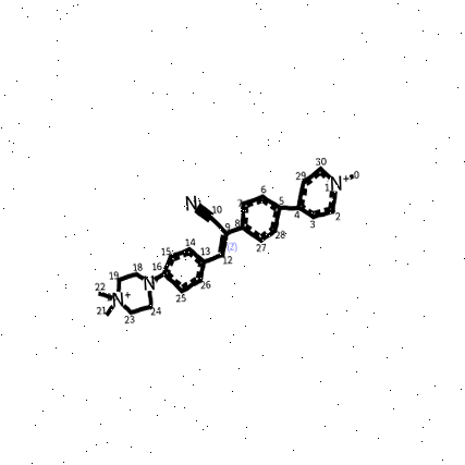 C[n+]1ccc(-c2ccc(/C(C#N)=C/c3ccc(N4CC[N+](C)(C)CC4)cc3)cc2)cc1